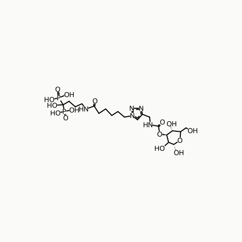 O=C(CCCCCn1cc(CNC(=O)O[C@@H]2C(O)[C@@H](O)OC(CO)[C@H]2O)nn1)NCCCC(O)(P(=O)(O)O)P(=O)(O)O